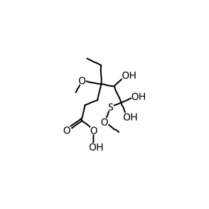 CCC(CCC(=O)OO)(OC)C(O)C(O)(O)SOC